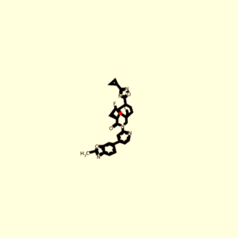 Cc1nc2ccc(-c3ccnc(N(CC45CCC(c6nc(C7CC7)no6)(CC4)CC5)C(=O)C45CC(F)(C4)C5)c3)cc2o1